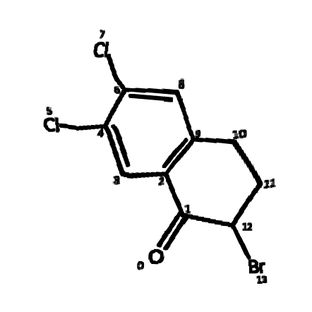 O=C1c2cc(Cl)c(Cl)cc2CCC1Br